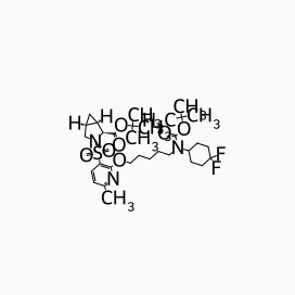 Cc1ccc(S(=O)(=O)N2C[C@@H]3C[C@@H]3[C@H]2C(=O)OC(C)(C)C)c(OCCCCCN(C(=O)OC(C)(C)C)C2CCC(F)(F)CC2)n1